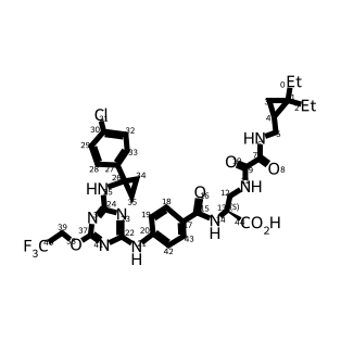 CCC1(CC)CC1CNC(=O)C(=O)NC[C@H](NC(=O)c1ccc(Nc2nc(NC3(c4ccc(Cl)cc4)CC3)nc(OCC(F)(F)F)n2)cc1)C(=O)O